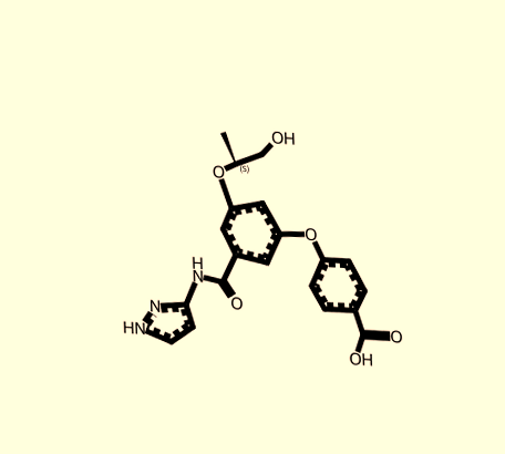 C[C@@H](CO)Oc1cc(Oc2ccc(C(=O)O)cc2)cc(C(=O)Nc2cc[nH]n2)c1